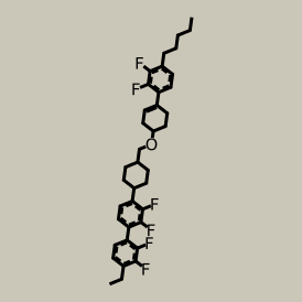 CCCCCc1ccc(C2=CCC(OCC3CCC(c4ccc(-c5ccc(CC)c(F)c5F)c(F)c4F)CC3)CC2)c(F)c1F